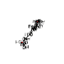 O=C(NCCCCCCNC(=O)c1ccc2c(c1)C(=O)OC21c2ccc(O)cc2Oc2cc(O)ccc21)c1ccc(CNc2nc(Br)nc3c2ncn3[C@@H]2O[C@H](COP(=O)(O)CP(=O)(O)O)[C@H](O)[C@@H]2O)cc1